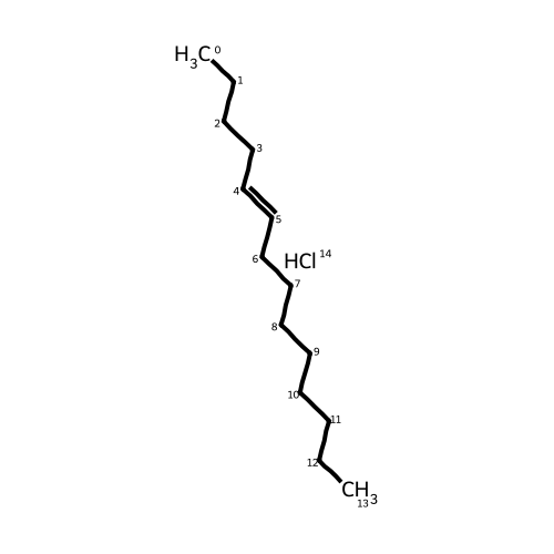 CCCCC=CCCCCCCCC.Cl